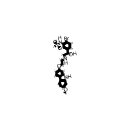 COc1ccc2c(c1)[nH]c1cc(OCCNC[C@@H](O)c3ccc(Br)c(NS(C)(=O)=O)c3)ccc12